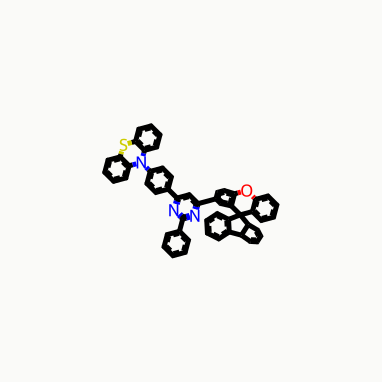 C1=CC2c3ccccc3C3(c4ccccc4Oc4ccc(-c5cc(-c6ccc(N7c8ccccc8Sc8ccccc87)cc6)nc(-c6ccccc6)n5)cc43)C2C=C1